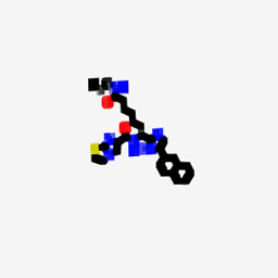 CNC(=O)CCCCC[C@H](NC(=O)c1cn2ccsc2n1)c1ncc(-c2ccc3ccccc3c2)[nH]1